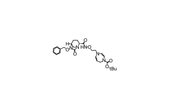 CC(C)(C)OC(=O)N1C=CN(CCONC(=O)[C@@H]2CC[C@@H]3CN2C(=O)N3OCc2ccccc2)C=CC1